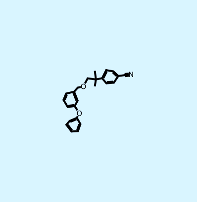 CC(C)(COCc1cccc(Oc2ccccc2)c1)c1ccc(C#N)cc1